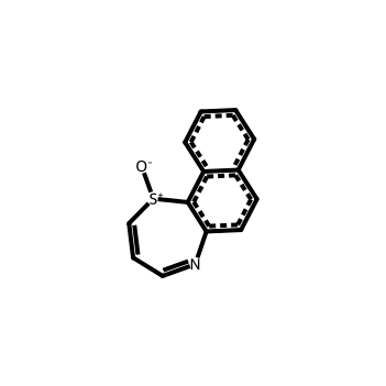 [O-][S+]1C=CC=Nc2ccc3ccccc3c21